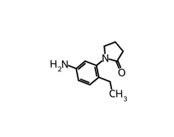 CCc1ccc(N)cc1N1CCCC1=O